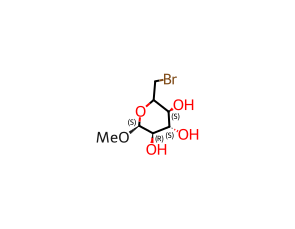 CO[C@H]1OC(CBr)[C@@H](O)[C@H](O)[C@H]1O